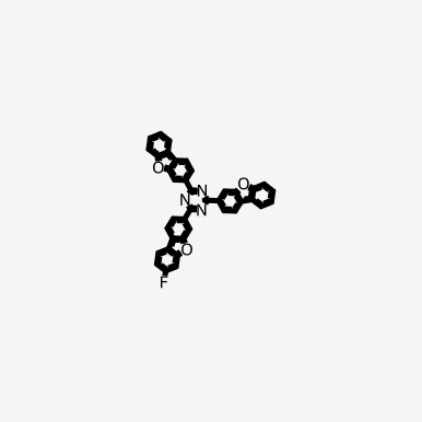 Fc1ccc2c(c1)oc1cc(-c3nc(-c4ccc5c(c4)oc4ccccc45)nc(-c4ccc5c(c4)oc4ccccc45)n3)ccc12